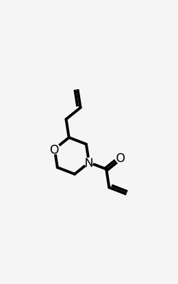 C=CCC1CN(C(=O)C=C)CCO1